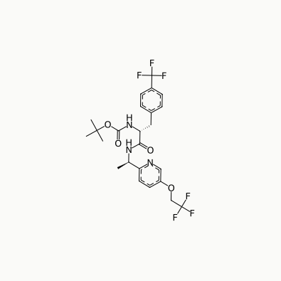 C[C@@H](NC(=O)[C@@H](Cc1ccc(C(F)(F)F)cc1)NC(=O)OC(C)(C)C)c1ccc(OCC(F)(F)F)cn1